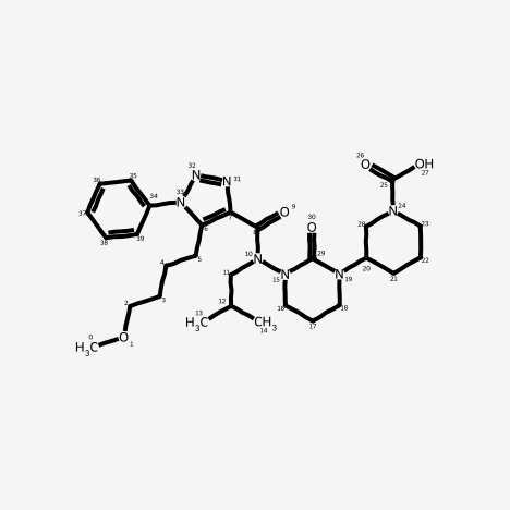 COCCCCc1c(C(=O)N(CC(C)C)N2CCCN(C3CCCN(C(=O)O)C3)C2=O)nnn1-c1ccccc1